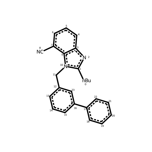 CCCCc1nc2cccc(C#N)c2n1Cc1cccc(-c2ccccc2)c1